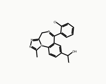 [CH2]C(O)c1ccc2c(c1)C(c1ccccc1Cl)=NCc1nnc(C)n1-2